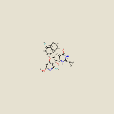 COc1cc2c(c(F)n1)[C@]1(O)c3nc(C4CC4)[nH]c(=O)c3[C@@H](c3ccccc3)[C@]1(c1ccc(F)cc1)O2